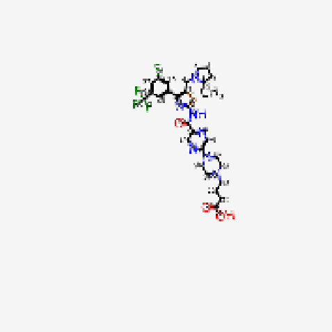 C[C@@H]1CCCN1Cc1sc(NC(=O)c2cnc(N3CCN(CCCC(=O)O)CC3)cn2)nc1-c1cc(F)cc(C(F)(F)F)c1